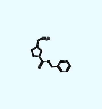 CCOC(=O)/C=C1/CCC(C(=O)OCc2ccccc2)C1